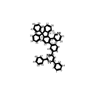 c1ccc(-c2cc(-c3cccc(-c4ccc5c(c4-c4cccnc4)-c4ccccc4C5(c4ccccc4)c4ccccc4)c3)nc(-c3ccccc3)n2)cc1